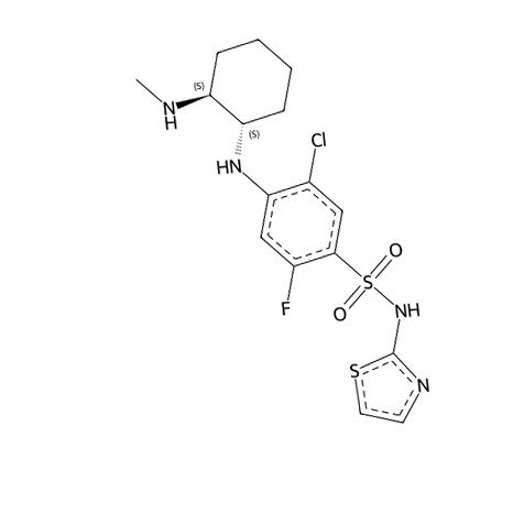 CN[C@H]1CCCC[C@@H]1Nc1cc(F)c(S(=O)(=O)Nc2nccs2)cc1Cl